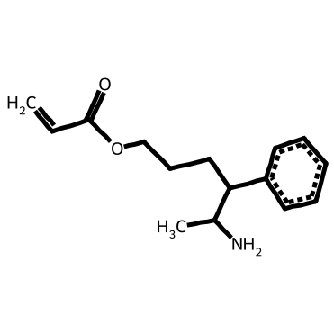 C=CC(=O)OCCCC(c1ccccc1)C(C)N